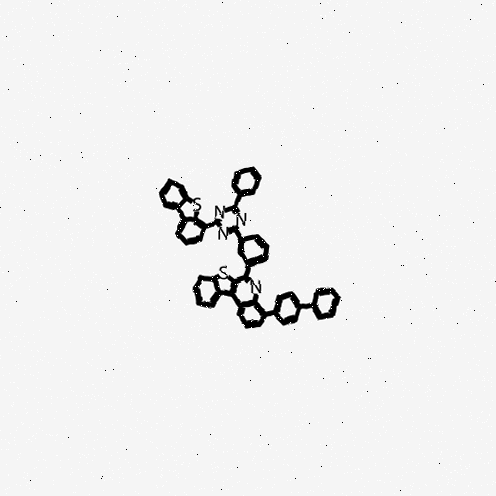 C1=CCC2Sc3c(-c4cccc(-c5nc(-c6ccccc6)nc(-c6cccc7c6sc6ccccc67)n5)c4)nc4c(-c5ccc(-c6ccccc6)cc5)cccc4c3C2=C1